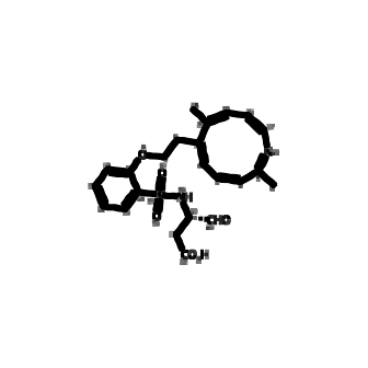 Cc1cccc(CCOc2ccccc2S(=O)(=O)N[C@H](C=O)CC(=O)O)c(C)cccn1